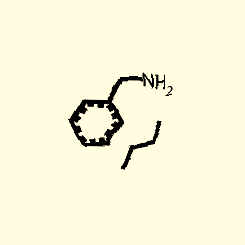 CCCC.NCc1ccccc1